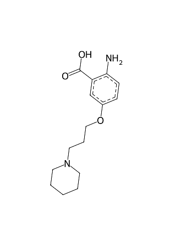 Nc1ccc(OCCCN2CCCCC2)cc1C(=O)O